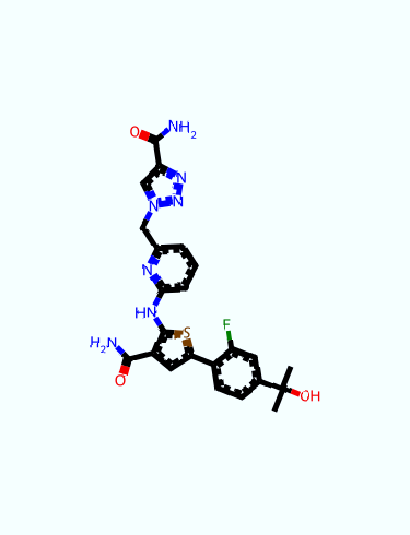 CC(C)(O)c1ccc(-c2cc(C(N)=O)c(Nc3cccc(Cn4cc(C(N)=O)nn4)n3)s2)c(F)c1